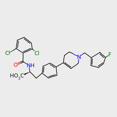 O=C(N[C@@H](Cc1ccc(C2=CCN(Cc3cccc(F)c3)CC2)cc1)C(=O)O)c1c(Cl)cccc1Cl